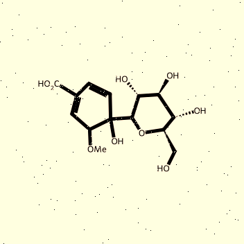 COC1C=C(C(=O)O)C=CC1(O)C1O[C@H](CO)[C@@H](O)[C@H](O)[C@H]1O